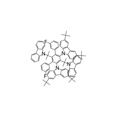 CC(C)(C)c1ccc2c(c1)c1cc(C(C)(C)C)ccc1n2-c1c(-c2cccc(F)c2)c(C(C)(C)n2c3ccccc3c3ccccc32)c(-c2cccc(F)c2)c(-n2c3ccc(C(C)(C)C)cc3c3cc(C(C)(C)C)ccc32)c1C(C)(C)n1c2ccccc2c2ccccc21